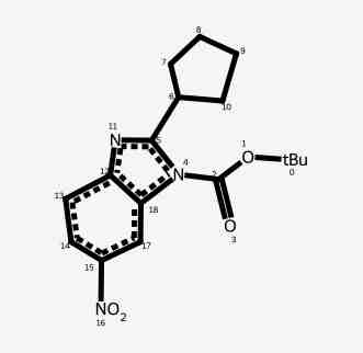 CC(C)(C)OC(=O)n1c(C2CCCC2)nc2ccc([N+](=O)[O-])cc21